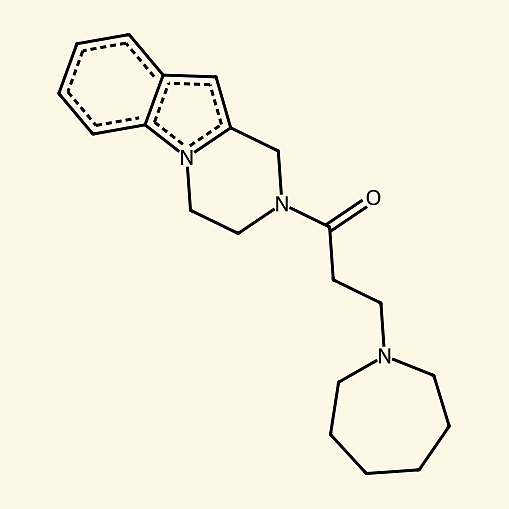 O=C(CCN1CCCCCC1)N1CCn2c(cc3ccccc32)C1